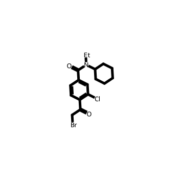 CCN(C(=O)c1ccc(C(=O)CBr)c(Cl)c1)C1CCCCC1